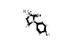 CCc1ccc(N2C(=O)CN(C)C2=[Se])cc1